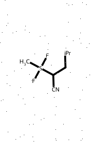 CC(C)CC(C#N)S(C)(F)F